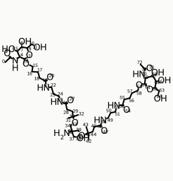 CC(=O)NC1C(O)[C@@H](O)C(CO)O[C@H]1OCCCCC(=O)NCCCNC(=O)CCC(C)(C)OCC(N)(CO)COC(C)(C)CCC(=O)NCCCNC(=O)CCCCO[C@@H]1OC(CO)[C@H](O)C(O)C1NC(C)=O